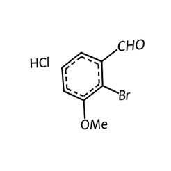 COc1cccc(C=O)c1Br.Cl